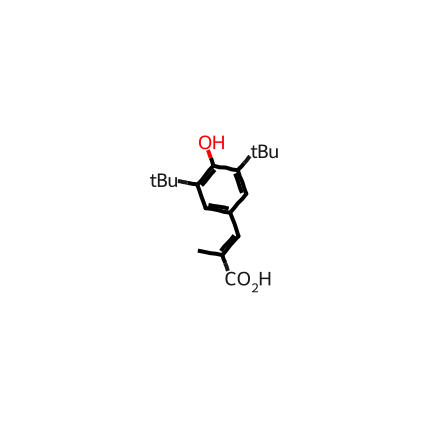 CC(=Cc1cc(C(C)(C)C)c(O)c(C(C)(C)C)c1)C(=O)O